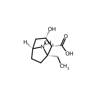 CC[C@@]12CC[C@@H](C[C@H](O)[C@@H]1C(=O)O)N2C